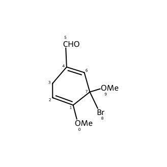 COC1=CCC(C=O)=CC1(Br)OC